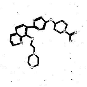 CCC(=O)N1CCC(Oc2ccc(-c3ccc4cccnc4c3OCCN3CCOCC3)cc2)CC1